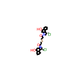 O=C(CCSCCC(=O)N1C[C@@H](CCl)c2c1cc(O)c1ccccc21)N1C[C@@H](CCl)c2c1cc(O)c1ccccc21